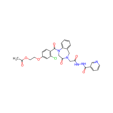 CC(=O)OCCOc1ccc(C(=O)N2CC(=O)N(CC(=O)NNC(=O)c3cccnc3)Cc3ccccc32)c(Cl)c1